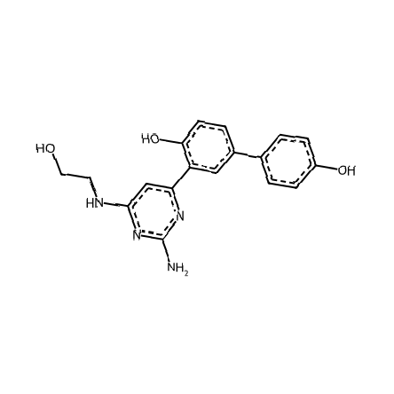 Nc1nc(NCCO)cc(-c2cc(-c3ccc(O)cc3)ccc2O)n1